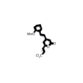 COc1ccccc1/C=C/c1cc(/C=C/C(Cl)(Cl)Cl)oc(=O)c1